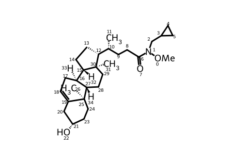 CON(CC1CC1)C(=O)CC[C@@H](C)[C@H]1CC[C@H]2[C@@H]3CC=C4C[C@@H](O)CC[C@]4(C)[C@H]3CC[C@]12C